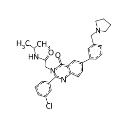 CC(C)NC(=O)Cn1c(-c2cccc(Cl)c2)nc2ccc(-c3cccc(CN4CCCC4)c3)cc2c1=O